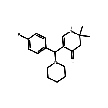 CC1(C)CC(=O)C(C(c2ccc(F)cc2)N2CCCCC2)=CN1